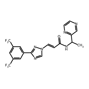 CC(NC(=O)C=Cn1cnc(-c2cc(C(F)(F)F)cc(C(F)(F)F)c2)n1)c1cnccn1